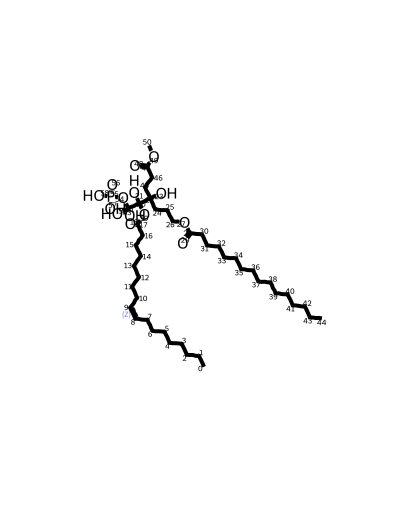 CCCCCCCC/C=C\CCCCCCCC(=O)OC(O)(C(O)(CCCOC(=O)CCCCCCCCCCCCCCC)CCC(=O)OC)C(O)(O)OP(=O)(O)O